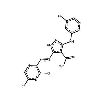 NC(=O)c1c(Nc2cccc(Cl)c2)n[nH]c1/N=C/c1ncc(Cl)nc1Cl